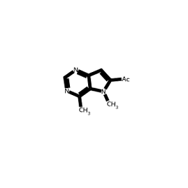 CC(=O)c1cc2ncnc(C)c2n1C